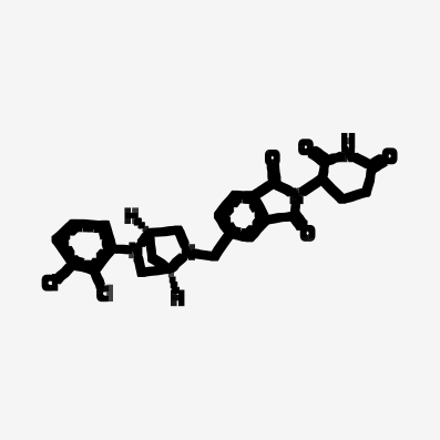 O=C1CCC(N2C(=O)c3ccc(CN4C[C@H]5C[C@@H]4CN5c4cccc(Cl)c4Cl)cc3C2=O)C(=O)N1